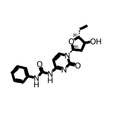 CC[C@H]1O[C@@H](n2ccc(NC(=O)Nc3ccccc3)nc2=O)CC1O